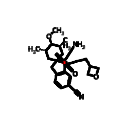 CO[C@H]1[C@H](C)C[C@@]2(Cc3ccc(C#N)cc3[C@]23N=C(N)N(CC2COC2)C3=O)C[C@@H]1C